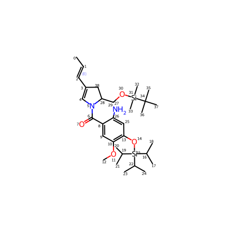 C/C=C/C1=CN(C(=O)c2cc(OC)c(O[Si](C(C)C)(C(C)C)C(C)C)cc2N)C(CO[Si](C)(C)C(C)(C)C)C1